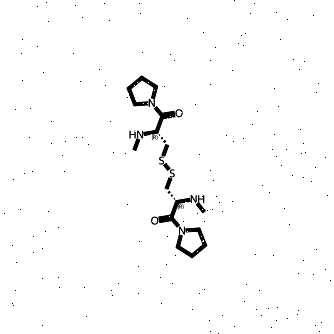 CN[C@@H](CSSC[C@H](NC)C(=O)N1CCCC1)C(=O)N1CCCC1